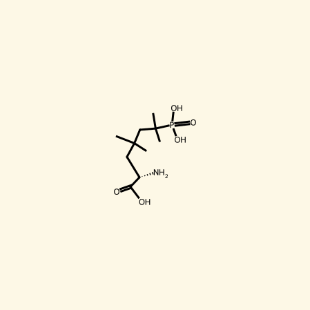 CC(C)(C[C@H](N)C(=O)O)CC(C)(C)P(=O)(O)O